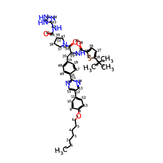 CCCCCCCOc1ccc(-c2cnc(-c3ccc(C[C@H](NC(=O)c4ccc(C(C)(C)C)s4)C(=O)N4CC[C@H](C(=O)Nc5n[nH][nH]5)C4)cc3)nc2)cc1